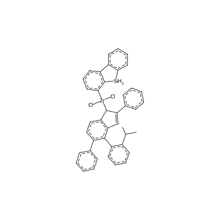 CC(C)c1ccccc1-c1c(-c2ccccc2)ccc2c1C=C(c1ccccc1)[CH]2[Zr]([Cl])([Cl])[c]1cccc2c1[SiH2]c1ccccc1-2